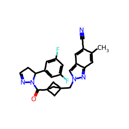 Cc1cc2nn(CC34CC(C(=O)N5N=CCC5c5cc(F)cc(F)c5)(C3)C4)cc2cc1C#N